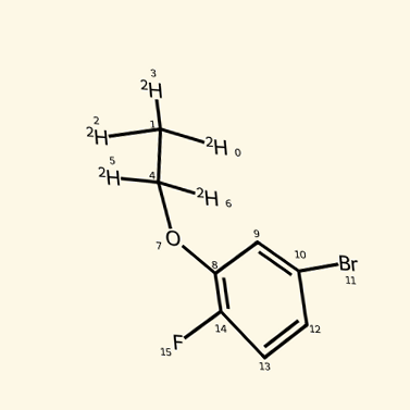 [2H]C([2H])([2H])C([2H])([2H])Oc1cc(Br)ccc1F